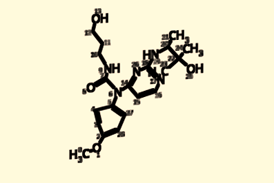 COc1ccc(N(C(=O)NCCCO)c2ccnc(N[C@@H](C)C(C)(C)O)n2)cc1